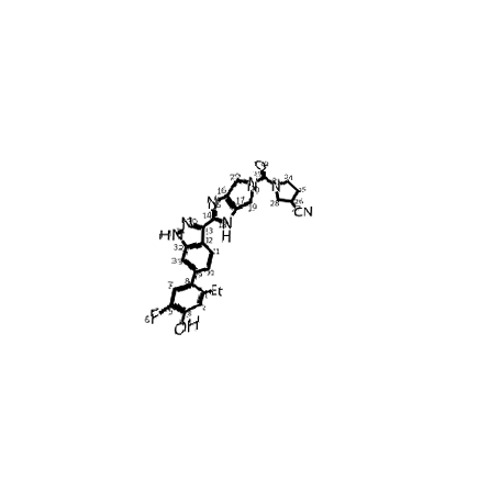 CCc1cc(O)c(F)cc1-c1ccc2c(-c3nc4c([nH]3)CN(C(=O)N3CCC(C#N)C3)C4)n[nH]c2c1